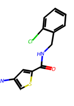 Nc1[c]sc(C(=O)NCc2ccccc2Cl)c1